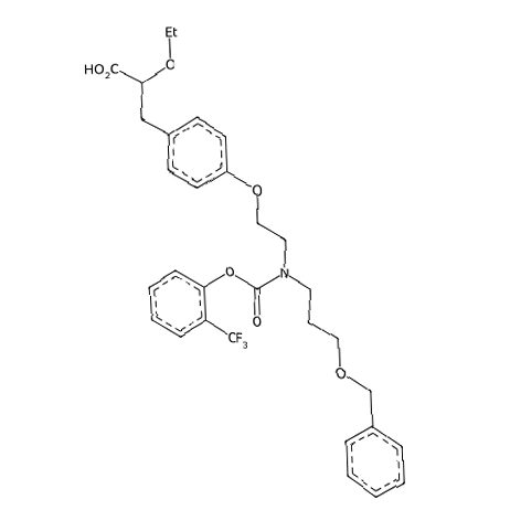 CCOC(Cc1ccc(OCCN(CCCOCc2ccccc2)C(=O)Oc2ccccc2C(F)(F)F)cc1)C(=O)O